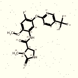 COc1cc(F)c(Oc2ccc(C(F)(F)F)cn2)cc1NC(=O)C1CNC(=O)N1C